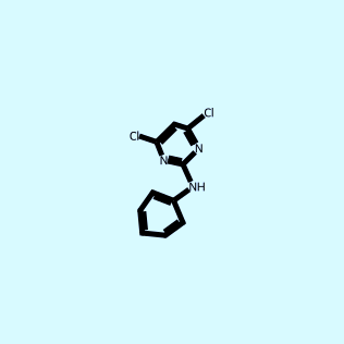 Clc1cc(Cl)nc(Nc2ccccc2)n1